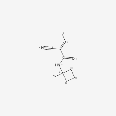 C/C=C(\C#N)C(=O)NC1(C)CCC1